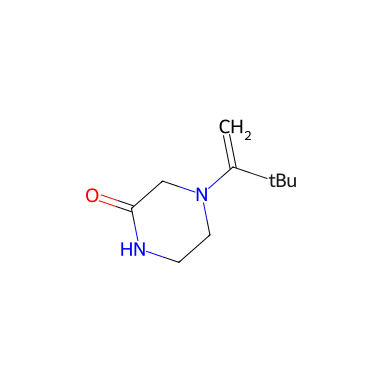 C=C(N1CCNC(=O)C1)C(C)(C)C